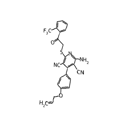 C=CCOc1ccc(-c2c(C#N)c(N)nc(SCC(=O)c3ccccc3C(F)(F)F)c2C#N)cc1